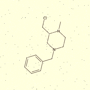 CN1CCN(Cc2ccccc2)CC1CCl